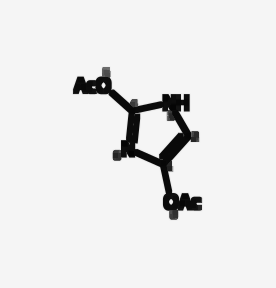 CC(=O)Oc1c[nH]c(OC(C)=O)n1